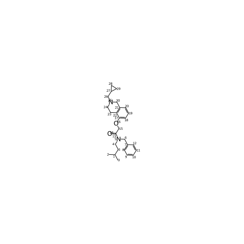 CC(C)CCN(Cc1ccccc1)C(=O)COc1cccc2c1CCN(CC1CC1)C2